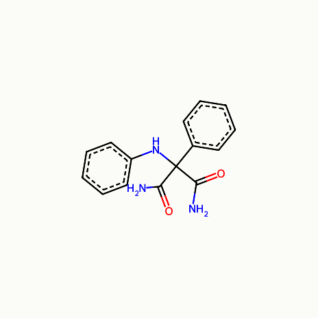 NC(=O)C(Nc1ccccc1)(C(N)=O)c1ccccc1